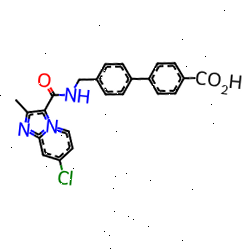 Cc1nc2cc(Cl)ccn2c1C(=O)NCc1ccc(-c2ccc(C(=O)O)cc2)cc1